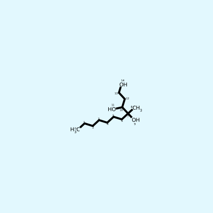 CCCCCCCC(C)(O)C(O)CCO